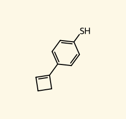 Sc1ccc(C2=CCC2)cc1